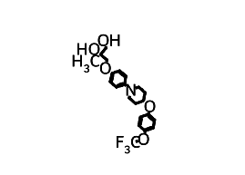 C[C@](O)(CO)COc1ccc(N2CCC(Oc3ccc(OC(F)(F)F)cc3)CC2)cc1